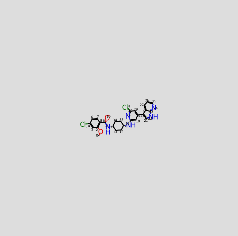 COc1cc(Cl)ccc1C(=O)N[C@H]1CC[C@H](Nc2cc(-c3c[nH]c4ncccc34)cc(Cl)n2)CC1